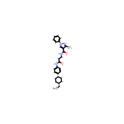 CC(=O)OC[C@H]1CC[C@H](c2ccc(NC(=O)CCNC(=O)c3cn(-c4ccccc4)nc3C(F)(F)F)cc2)CC1